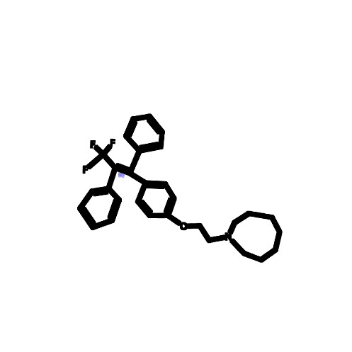 FC(F)(F)/C(=C(\c1ccccc1)c1ccc(OCCN2CCCCCCC2)cc1)c1ccccc1